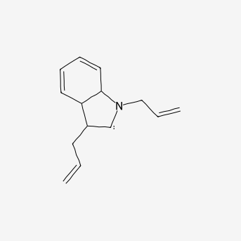 C=CCC1[C]N(CC=C)C2C=CC=CC12